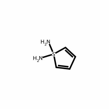 NS1(N)C=CC=C1